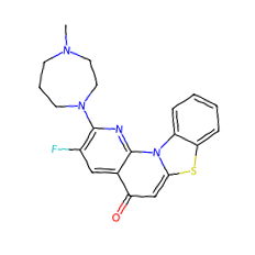 CN1CCCN(c2nc3c(cc2F)c(=O)cc2sc4ccccc4n23)CC1